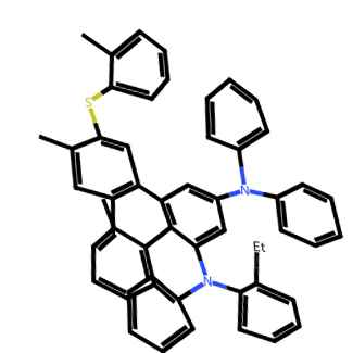 CCc1ccccc1N(c1ccccc1)c1cc(N(c2ccccc2)c2ccccc2)cc(-c2cc(Sc3ccccc3C)c(C)cc2C)c1-c1ccccc1C